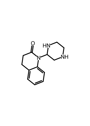 O=C1CCc2ccccc2N1C1CNCCN1